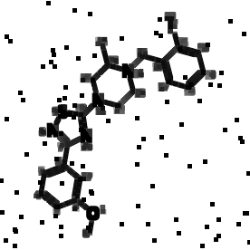 COc1cccc(-c2nsc(N3CCN(Cc4ccccc4F)C(C)C3)n2)c1